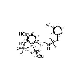 CC(=O)c1cccc(CC(C)(C)NC[C@H](O[Si](C)(C)C(C)(C)C)c2ccc(O)c(NS(C)(=O)=O)c2)c1